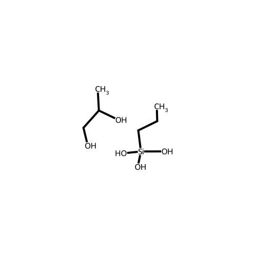 CC(O)CO.CCC[Si](O)(O)O